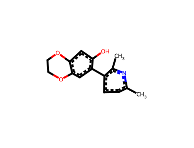 Cc1ccc(-c2cc3c(cc2O)OCCO3)c(C)n1